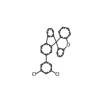 Clc1cc(Cl)cc(-c2ccc3c(c2)C2(c4ccccc4Oc4ccccc42)c2ccccc2-3)c1